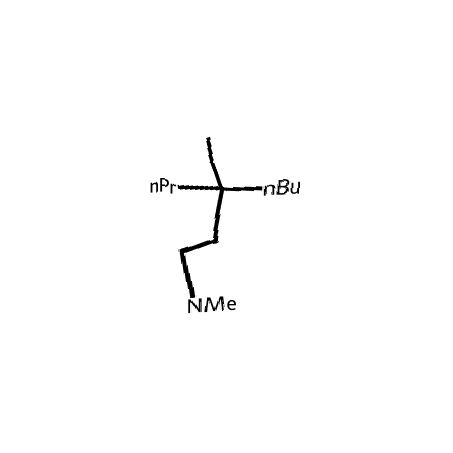 CCCCC(C)(CCC)CCNC